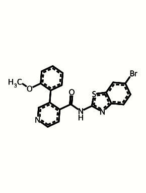 COc1ccccc1-c1cnccc1C(=O)Nc1nc2ccc(Br)cc2s1